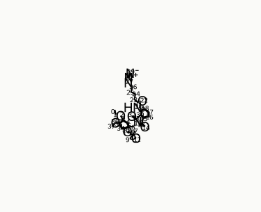 CCOc1cc([C@@H](CS(C)(=O)=O)N2C(=O)c3cccc(NC(=O)CCCCN=[N+]=[N-])c3C2=O)ccc1OC